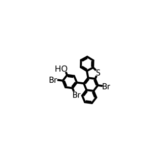 Oc1cc(-c2c3ccccc3c(Br)c3sc4ccccc4c23)c(Br)cc1Br